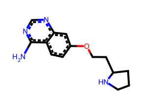 Nc1ncnc2cc(OCCC3CCCN3)ccc12